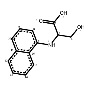 O=C(O)C(CO)Nc1cccc2ccccc12